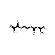 C=C(C)C(=O)OCCOC(=O)NC(C)C